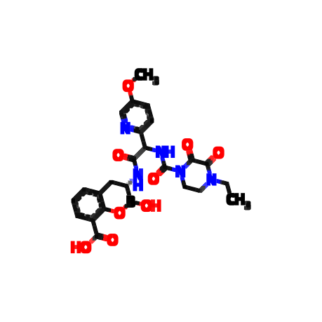 CCN1CCN(C(=O)NC(C(=O)N[C@H]2Cc3cccc(C(=O)O)c3OB2O)c2ccc(OC)cn2)C(=O)C1=O